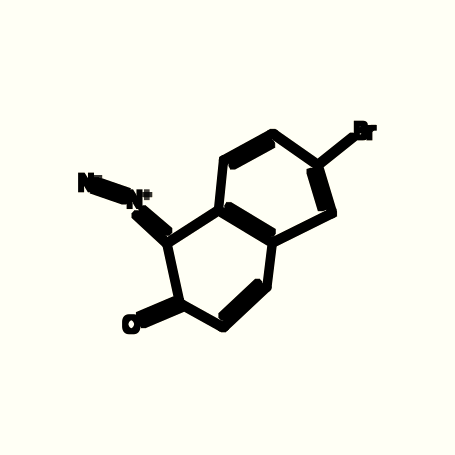 [N-]=[N+]=C1C(=O)C=Cc2cc(Br)ccc21